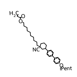 C=CC(=O)OCCCCCCCCCCC1(C#N)CCCC(c2ccc(-c3ccc(OC(C)CCC)cc3)cc2)C1